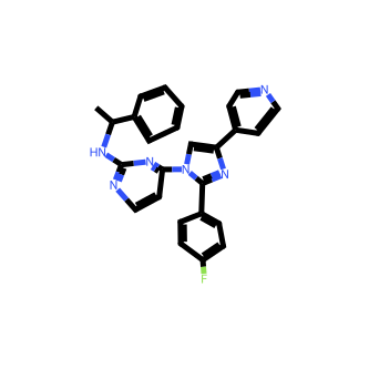 CC(Nc1nccc(-n2cc(-c3ccncc3)nc2-c2ccc(F)cc2)n1)c1ccccc1